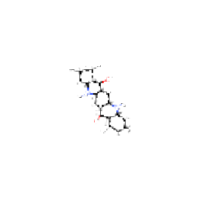 Cc1cc(C)c2c(=O)c3cc4c(cc3n(C)c2c1)c(=O)c1c(C)cc(C)cc1n4C